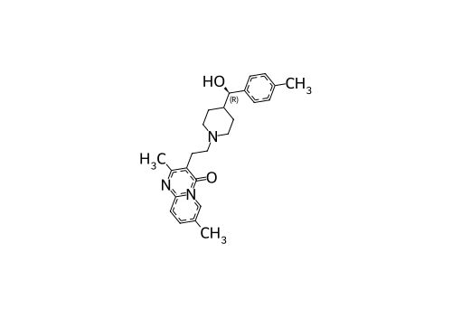 Cc1ccc([C@H](O)C2CCN(CCc3c(C)nc4ccc(C)cn4c3=O)CC2)cc1